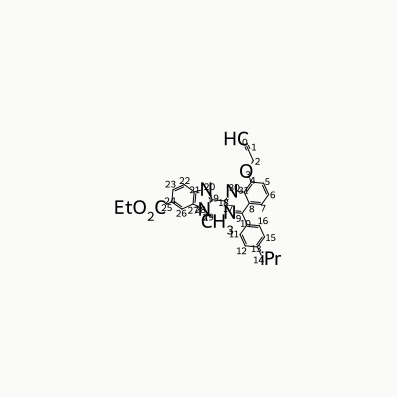 C#CCOc1cccc2c(-c3ccc(C(C)C)cc3)nc(-c3nc4ccc(C(=O)OCC)cc4n3C)nc12